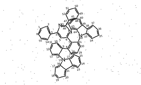 c1ccc(-c2cc(-c3c(-c4ccccc4-n4c5ccccc5c5ccccc54)cccc3-n3c4ccccc4c4ccccc43)nc(-c3ccccc3)n2)cc1